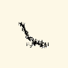 [N-]=[N+]=NCCOCCOCCOC1CCN(CCC(N)(CCCCB(O)O)C(=O)O)CC1